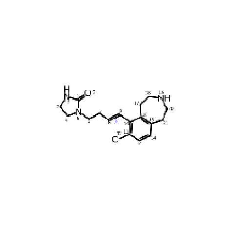 O=C1NCCN1CC/C=C/c1c(Cl)ccc2c1CCNCC2